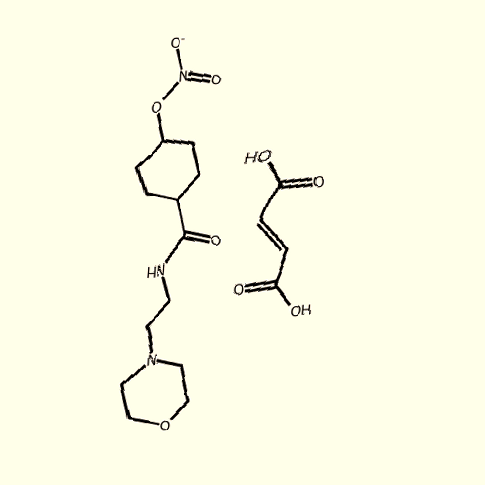 O=C(NCCN1CCOCC1)C1CCC(O[N+](=O)[O-])CC1.O=C(O)C=CC(=O)O